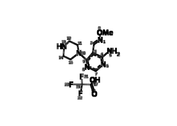 CON=Cc1c(N)ncnc1N1CCNCC1.O=C(O)C(F)(F)F